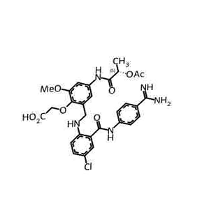 COc1cc(NC(=O)[C@H](C)OC(C)=O)cc(CNc2ccc(Cl)cc2C(=O)Nc2ccc(C(=N)N)cc2)c1OCC(=O)O